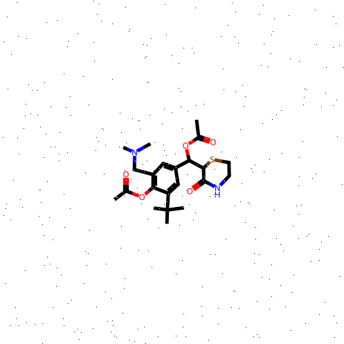 CC(=O)Oc1c(CN(C)C)cc(C(OC(C)=O)C2SCCNC2=O)cc1C(C)(C)C